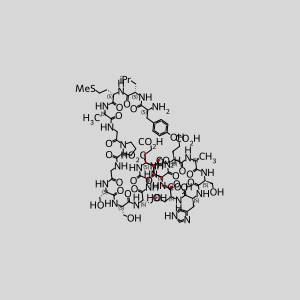 CSCC[C@H](NC(=O)[C@H](CC(C)C)NC(=O)[C@@H](N)Cc1ccc(O)cc1)C(=O)N[C@@H](C)C(=O)NCC(=O)N1CCC[C@H]1C(=O)NCC(=O)N[C@@H](CO)C(=O)N[C@@H](CO)C(=O)N[C@@H](CO)C(=O)N[C@@H](CCC(=O)O)C(=O)N[C@@H](CCC(=O)O)C(=O)N[C@@H](CC(=O)O)C(=O)N[C@@H](CCC(=O)O)C(=O)N[C@@H](C)C(=O)N[C@@H](CO)C(=O)N[C@@H](Cc1c[nH]cn1)C(=O)N[C@@H](CO)C(=O)NCC(=O)NCC(=O)O